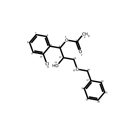 CC(=O)OC(c1ccccc1Cl)C(O)COCc1ccccc1